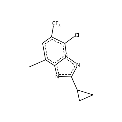 Cc1cc(C(F)(F)F)c(Cl)n2nc(C3CC3)nc12